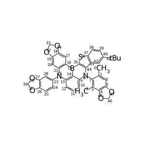 Cc1cc2c(c(C)c1N1c3cccc4c3B(c3cc5c(cc3N4c3ccc4c(c3)OCO4)OCO5)c3sc4ccc(C(C)(C)C)cc4c31)OCO2